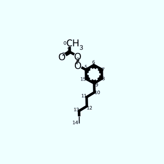 CC(=O)OOc1cccc(CCCCI)c1